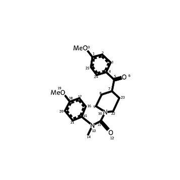 COc1ccc(C(=O)C2CCN(C(=O)N(C)c3ccc(OC)cc3)CC2)cc1